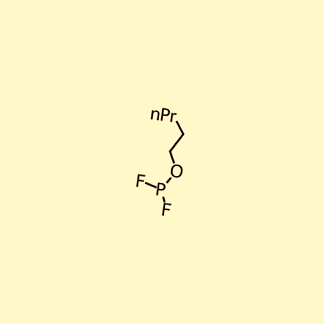 CCCCCOP(F)F